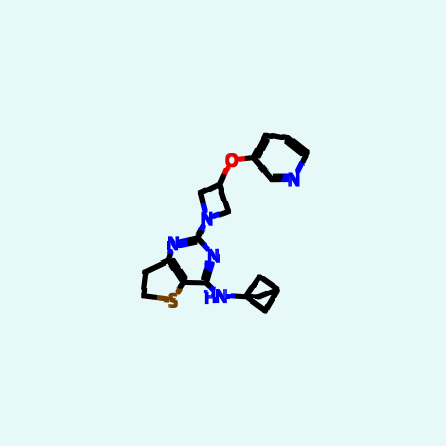 c1cncc(OC2CN(c3nc4c(c(NC56CC(C5)C6)n3)SCC4)C2)c1